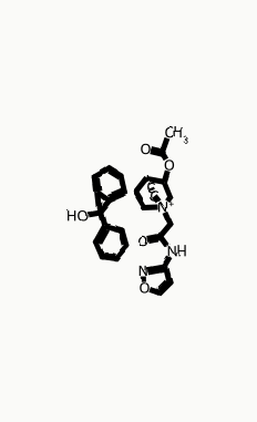 CC(=O)OC1C[N+]2(CC(=O)Nc3ccon3)CCC1CC2.OC1(c2ccccc2)c2ccccc21